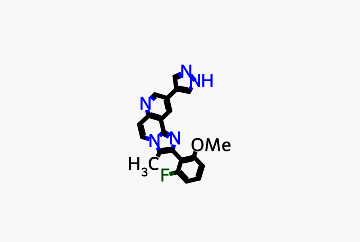 COc1cccc(F)c1-c1nc2c3cc(-c4cn[nH]c4)cnc3ccn2c1C